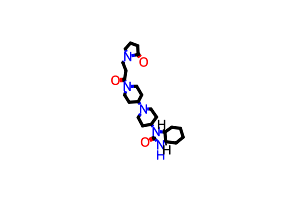 O=C1CCCN1CCC(=O)N1CCC(N2CCC(N3C(=O)N[C@@H]4CCCC[C@H]43)CC2)CC1